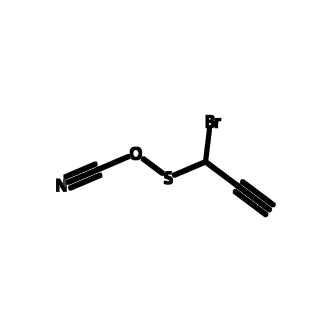 C#CC(Br)SOC#N